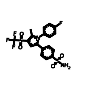 Cc1c(S(=O)(=O)C(F)(F)F)cc(-c2ccc(S(N)(=O)=O)cc2)n1-c1ccc(F)cc1